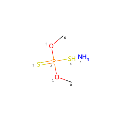 COP(=S)(S)OC.N